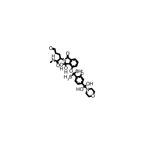 BC(B)(Oc1cccc2c1C(O)(O)N(C(CCC=O)C(=O)NC)C2=O)c1ccc(C(O)(O)N2CCOCC2)cc1F